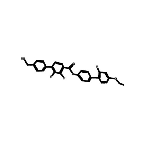 CCOc1ccc(-c2ccc(OC(=O)c3ccc(-c4ccc(CO)cc4)c(F)c3F)cc2)c(F)c1